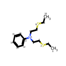 CCSCCN(CCSCC)c1ccccc1